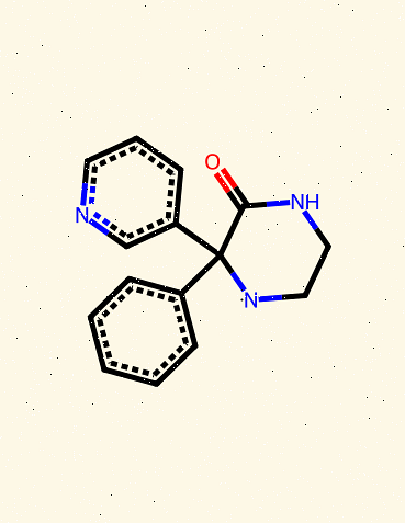 O=C1NCC[N]C1(c1ccccc1)c1cccnc1